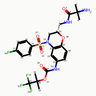 CC(C)(N)C(=O)NC[C@H]1CN(S(=O)(=O)c2ccc(F)cc2)c2cc(NC(=O)OC(C)(C)C(F)(F)F)ccc2O1